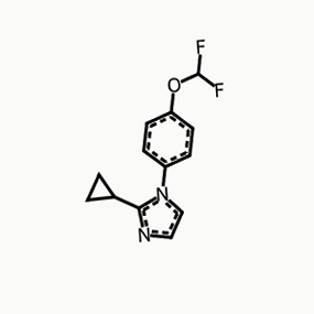 FC(F)Oc1ccc(-n2ccnc2C2CC2)cc1